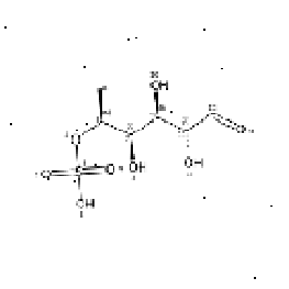 C[C@H](OS(=O)(=O)O)[C@H](O)[C@@H](O)[C@@H](O)C=O